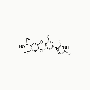 CC(C)C(O)c1cc(Oc2c(Cl)cc(-n3ncc(=O)[nH]c3=O)cc2Cl)ccc1O